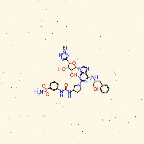 CCn1nnc([C@H]2O[C@@H](n3cnc4c(N[C@H](CO)Cc5ccccc5)nc(N5CCC(NC(=O)Nc6cccc(S(N)(=O)=O)c6)C5)nc43)[C@H](O)[C@@H]2O)n1